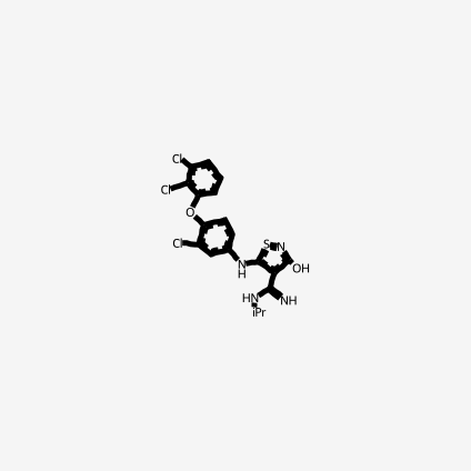 CC(C)NC(=N)c1c(O)nsc1Nc1ccc(Oc2cccc(Cl)c2Cl)c(Cl)c1